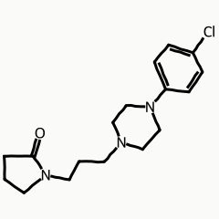 O=C1CCCN1CCCN1CCN(c2ccc(Cl)cc2)CC1